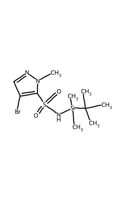 Cn1ncc(Br)c1S(=O)(=O)N[Si](C)(C)C(C)(C)C